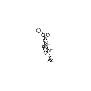 CC(=O)SCCC(=O)[N-]c1c[n+](N2CCN(C(=O)OCc3ccccc3)CC2)no1